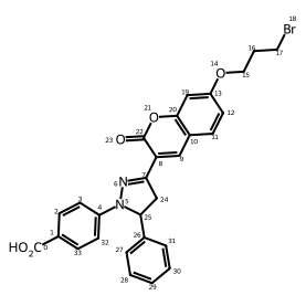 O=C(O)c1ccc(N2N=C(c3cc4ccc(OCCCBr)cc4oc3=O)CC2c2ccccc2)cc1